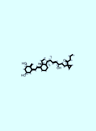 C=C1/C(=C\C=C2/CCC[C@]3(C)[C@@H]([C@H](C)/C=C/[C@H](O)CCC4(C(=O)CCC)CC4)CC[C@@H]23)C[C@@H](O)C[C@@H]1O